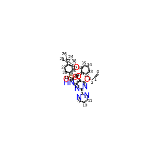 C#CCOc1nc(-c2ncccn2)nc(NS(=O)(=O)c2ccc(C(C)(C)C)cc2)c1Oc1ccccc1OC